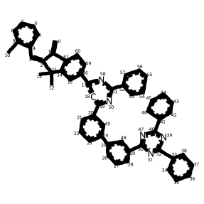 C=C1/C(=C\c2ccccc2C)C(C)(C)c2cc(-c3cc(-c4cccc(-c5cccc(-c6nc(-c7ccccc7)nc(-c7ccccc7)n6)c5)c4)nc(-c4ccccc4)n3)ccc21